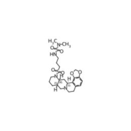 CN(C)S(=O)(=O)NCCCS(=O)(=O)N1CCC[C@H]2CN3CCc4ccc5c(c4[C@@H]3C[C@H]21)OCO5